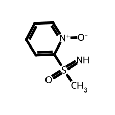 CS(=N)(=O)c1cccc[n+]1[O-]